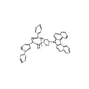 CC1(c2ccc(-n3c4ccc5ccccc5c4c4c5ccccc5ccc43)cc2)NC(c2ccccc2)=NC(c2cccc(-c3ccccc3)c2)N1